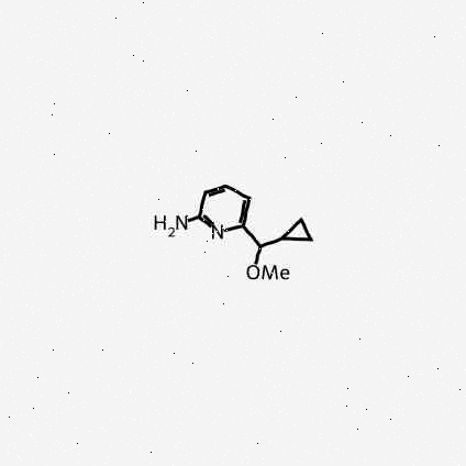 COC(c1cccc(N)n1)C1CC1